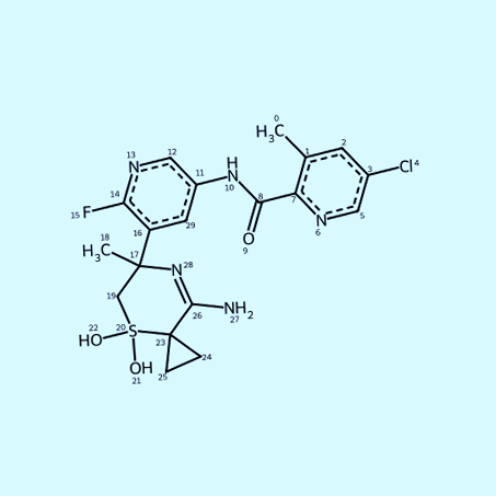 Cc1cc(Cl)cnc1C(=O)Nc1cnc(F)c(C2(C)CS(O)(O)C3(CC3)C(N)=N2)c1